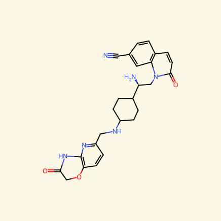 N#Cc1ccc2ccc(=O)n(C[C@H](N)C3CCC(NCc4ccc5c(n4)NC(=O)CO5)CC3)c2c1